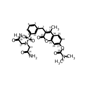 Cc1c(Cc2cccc(S(=O)(=O)N(CC(N)=O)CC(N)=O)c2)c(=O)oc2cc(OC(=O)N(C)C)ccc12